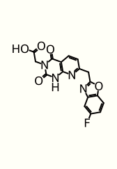 O=C(O)Cn1c(=O)[nH]c2nc(Cc3nc4cc(F)ccc4o3)ccc2c1=O